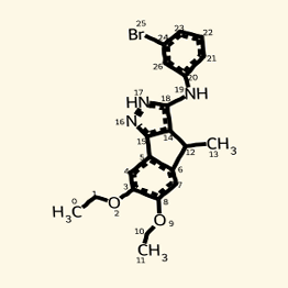 CCOc1cc2c(cc1OCC)C(C)c1c-2n[nH]c1Nc1cccc(Br)c1